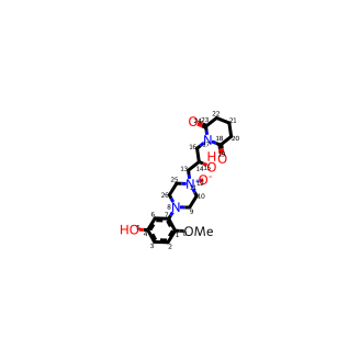 COc1ccc(O)cc1N1CC[N+]([O-])(CC(O)CN2C(=O)CCCC2=O)CC1